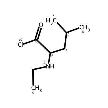 CCNC(CC(C)C)C(=O)Cl